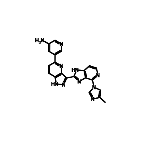 Cc1cn(-c2nccc3[nH]c(-c4n[nH]c5ccc(-c6cncc(N)c6)nc45)nc23)cn1